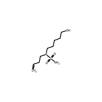 C=CCCN(CCCCCO)S(N)(=O)=O